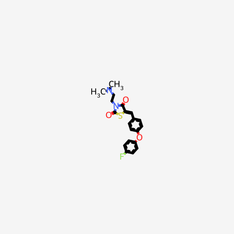 CN(C)CCN1C(=O)S/C(=C\c2ccc(Oc3ccc(F)cc3)cc2)C1=O